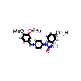 CCCCOc1cc(CN2CCC(n3c(=O)[nH]c4cc(C(=O)O)ccc43)CC2)ccc1OC